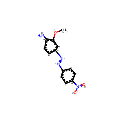 COc1cc(N=Nc2ccc([N+](=O)[O-])cc2)ccc1N